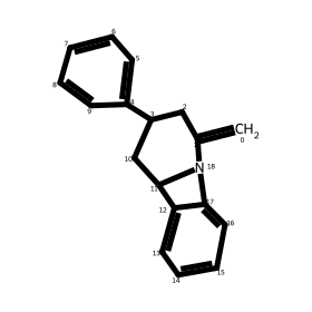 C=C1CC(c2ccccc2)CC2c3ccccc3N12